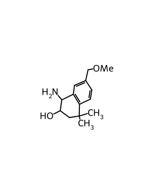 COCc1ccc2c(c1)C(N)C(O)CC2(C)C